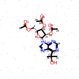 CC(=O)OC[C@H]1O[C@@H](n2cnc3c(C(C)(C)O)ncnc32)[C@H](OC(C)=O)[C@@H]1OC(C)=O